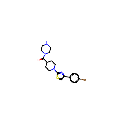 O=C(C1CCN(c2nc(-c3ccc(Br)cc3)cs2)CC1)N1CCNCC1